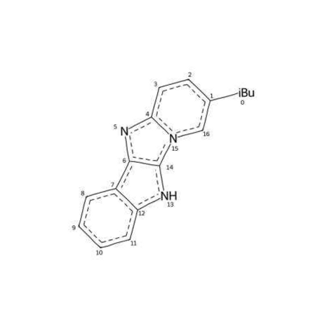 CCC(C)c1ccc2nc3c4ccccc4[nH]c3n2c1